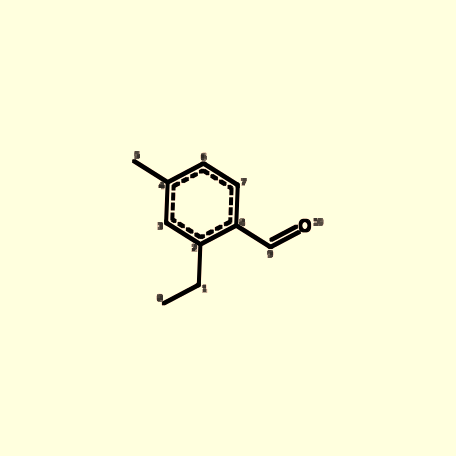 CCc1cc(C)ccc1C=O